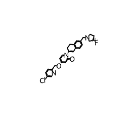 O=c1cc(OCc2ccc(Cl)cn2)ccn1C1=Cc2ccc(CN3CC[C@@H](F)C3)cc2CC1